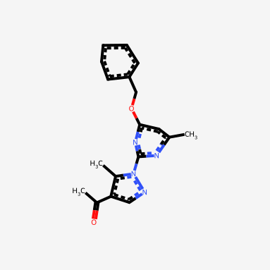 CC(=O)c1cnn(-c2nc(C)cc(OCc3ccccc3)n2)c1C